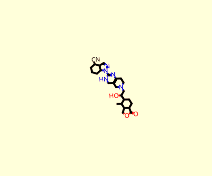 CC1C(C(O)CN2CCC3=C(CNC(N4N=CC5C(C#N)CCCC54)=N3)C2)CCC2C(=O)OCC21